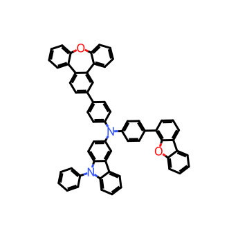 c1ccc(-n2c3ccccc3c3cc(N(c4ccc(-c5ccc6c(c5)-c5ccccc5Oc5ccccc5-6)cc4)c4ccc(-c5cccc6c5oc5ccccc56)cc4)ccc32)cc1